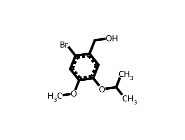 COc1cc(Br)c(CO)cc1OC(C)C